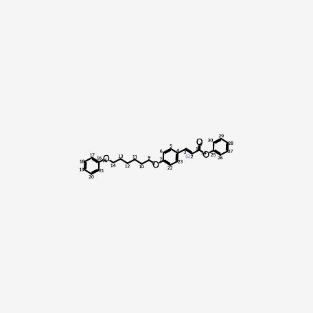 O=C(/C=C/c1ccc(OCCCCCCOc2ccccc2)cc1)Oc1ccccc1